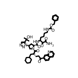 CC(C)(O)c1cnnn1[C@H]1C[C@@H](C(=O)NC(CCCCNC(=O)OCc2ccccc2)C(=O)C(N)=O)N(C(=O)[C@H](CCC(=O)c2ccc3cccnc3c2)CC2CCCCC2)C1